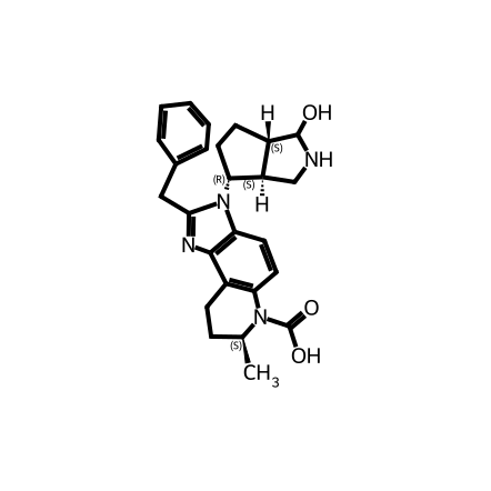 C[C@H]1CCc2c(ccc3c2nc(Cc2ccccc2)n3[C@@H]2CC[C@@H]3C(O)NC[C@H]32)N1C(=O)O